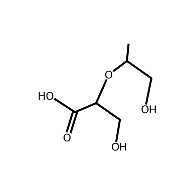 CC(CO)OC(CO)C(=O)O